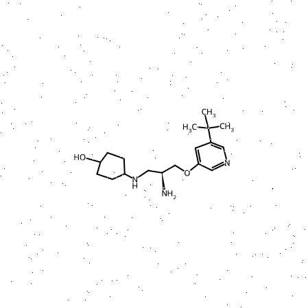 CC(C)(C)c1cncc(OC[C@@H](N)CNC2CCC(O)CC2)c1